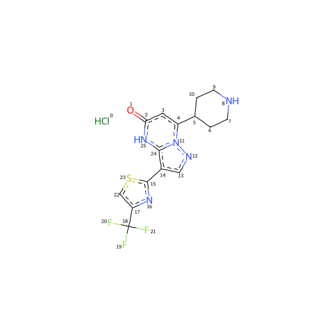 Cl.O=c1cc(C2CCNCC2)n2ncc(-c3nc(C(F)(F)F)cs3)c2[nH]1